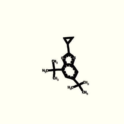 CC(C)(C)c1cc(C(C)(C)C)c2oc(C3CC3)nc2c1